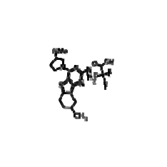 CN[C@@H]1CCN(c2nc(N)nc3c4c(sc23)CCC(C)C4)C1.O=C(O)C(F)(F)F